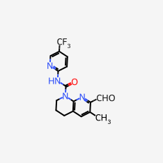 Cc1cc2c(nc1C=O)N(C(=O)Nc1ccc(C(F)(F)F)cn1)CCC2